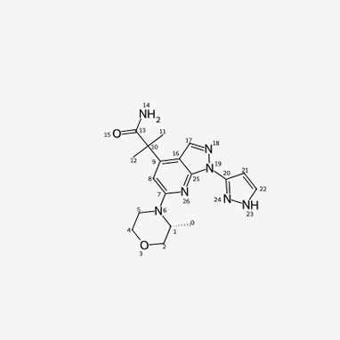 C[C@@H]1COCCN1c1cc(C(C)(C)C(N)=O)c2cnn(-c3cc[nH]n3)c2n1